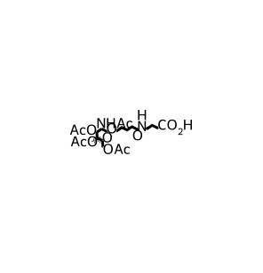 CC(=O)NC1C(OCCCCC(=O)NCCCC(=O)O)OC(COC(C)=O)[C@H](OC(C)=O)C1OC(C)=O